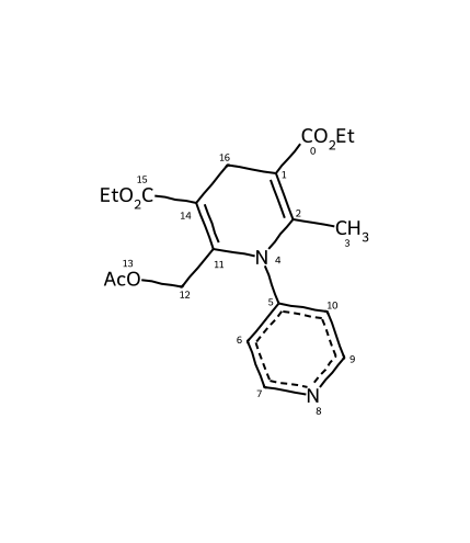 CCOC(=O)C1=C(C)N(c2ccncc2)C(COC(C)=O)=C(C(=O)OCC)C1